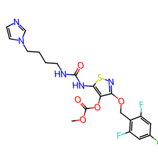 COC(=O)Oc1c(OCc2c(F)cc(Cl)cc2F)nsc1NC(=O)NCCCCn1ccnc1